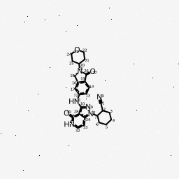 N#CC1CCCCC1n1nc(Nc2ccc3c(c2)CN(C2CCOCC2)C3=O)c2c(=O)[nH]ccc21